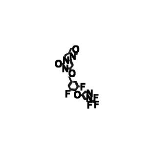 O=c1nc(OCc2cc(F)c(Oc3cnn(C(F)(F)F)c3)c(F)c2)cc2n1CC1COCN21